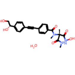 CNC(=O)[C@@](C)(C(=O)NO)N(C)C(=O)c1ccc(C#Cc2ccc([C@H](O)CO)cc2)cc1.O